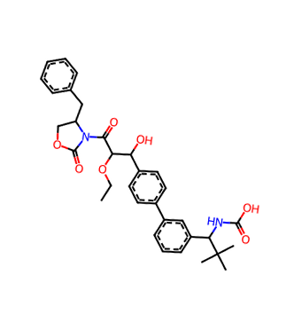 CCOC(C(=O)N1C(=O)OCC1Cc1ccccc1)C(O)c1ccc(-c2cccc(C(NC(=O)O)C(C)(C)C)c2)cc1